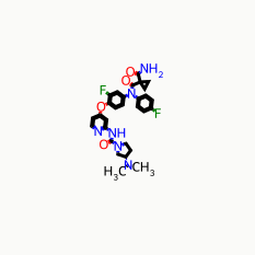 CN(C)[C@H]1CCN(C(=O)Nc2cc(Oc3ccc(N(C(=O)C4(C(N)=O)CC4)c4ccc(F)cc4)cc3F)ccn2)C1